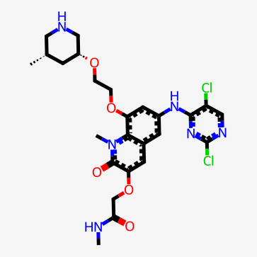 CNC(=O)COc1cc2cc(Nc3nc(Cl)ncc3Cl)cc(OCCO[C@H]3CNC[C@@H](C)C3)c2n(C)c1=O